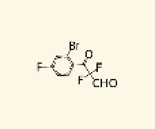 O=CC(F)(F)C(=O)c1ccc(F)cc1Br